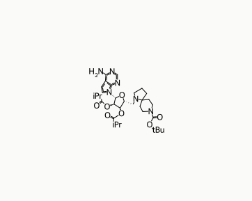 CC(C)C(=O)O[C@@H]1[C@H](OC(=O)C(C)C)[C@@H](CN2CCCC23CCN(C(=O)OC(C)(C)C)CC3)O[C@H]1n1ccc2c(N)ncnc21